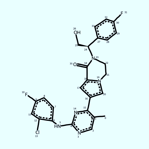 Cc1cnc(Nc2ccc(F)cc2Cl)nc1-c1cc2n(c1)CCN([C@@H](CO)c1ccc(F)cc1)C2=O